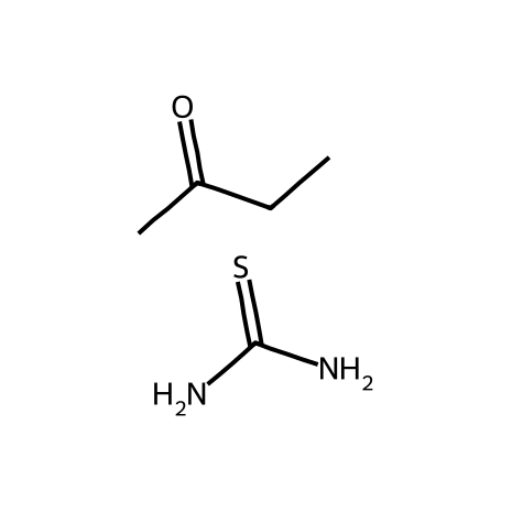 CCC(C)=O.NC(N)=S